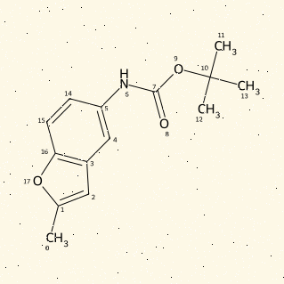 Cc1cc2cc(NC(=O)OC(C)(C)C)ccc2o1